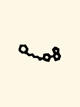 c1cc(-c2ccc(OCCCCN3CCCCC3)cc2)n2cccc2c1